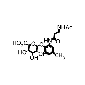 CC(=O)NCCC(=O)Nc1cc(C)ccc1O[C@@H]1O[C@H](C(=O)O)[C@@H](O)[C@H](O)[C@H]1O